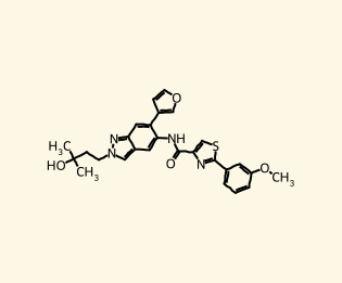 COc1cccc(-c2nc(C(=O)Nc3cc4cn(CCC(C)(C)O)nc4cc3-c3ccoc3)cs2)c1